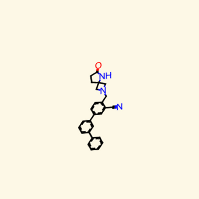 N#Cc1cc(-c2cccc(-c3ccccc3)c2)ccc1CN1CC2(CCC(=O)N2)C1